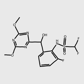 COc1nc(OC)nc(C(O)c2cccc(F)c2NS(=O)(=O)C(F)F)n1